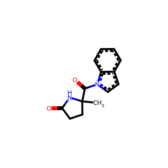 CC1(C(=O)n2ccc3ccccc32)CCC(=O)N1